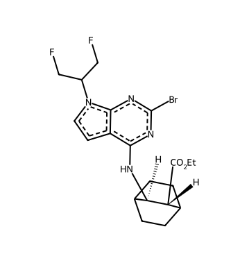 CCOC(=O)[C@@H]1C2CCC(CC2)[C@H]1Nc1nc(Br)nc2c1ccn2C(CF)CF